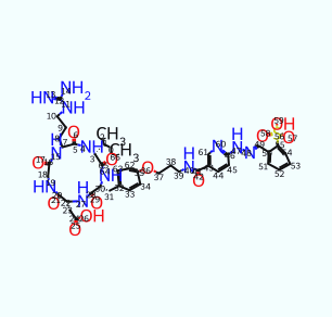 CC(C)[C@H]1NC(=O)C(CCCNC(=N)N)NC(=O)CNC(=O)[C@@H](CC(=O)O)NC(=O)[C@@H](Cc2ccc(OCCCNC(=O)c3ccc(NN=Cc4ccccc4S(=O)(=O)O)nc3)cc2)NC1=O